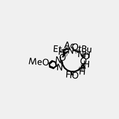 CC[C@@H]1[C@@H]2CN(C(=O)[C@H](C(C)(C)C)NC(=O)O[C@@H]3C[C@H]3CC(=O)C(F)(F)CCc3nc4ccc(OC)cc4nc3O2)[C@@H]1C(C)=O